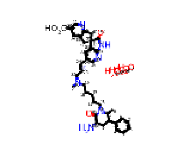 CC1C(c2ccccc2)CC(N)C(=O)N1CCCCCN(C)C/C=C/c1cnc2c(c1)[C@@]1(Cc3cc(C(=O)O)cnc3C1)C(=O)N2.O.O.O.O